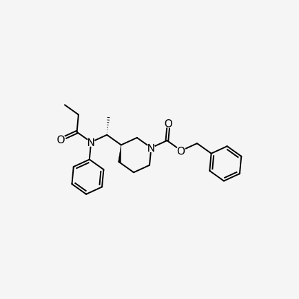 CCC(=O)N(c1ccccc1)[C@H](C)[C@@H]1CCCN(C(=O)OCc2ccccc2)C1